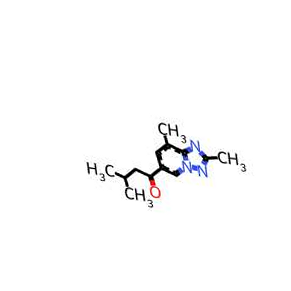 Cc1nc2c(C)cc(C(=O)CC(C)C)cn2n1